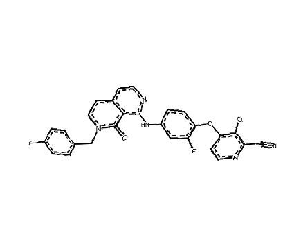 N#Cc1nccc(Oc2ccc(Nc3nccc4ccn(Cc5ccc(F)cc5)c(=O)c34)cc2F)c1Cl